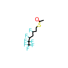 CC(=O)SCCC(F)CC(F)C(F)(F)C(F)(F)F